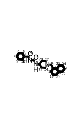 O=C(NC(=O)c1ccccc1)NC1CCN(Cc2cccc3ccccc23)CC1